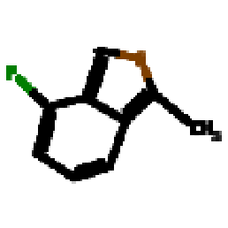 Cc1s[c]c2c(F)cccc12